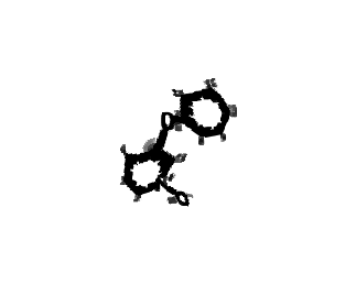 [O-][n+]1cccc(Oc2ccccc2)c1